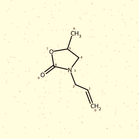 C=CCN1CC(C)OC1=O